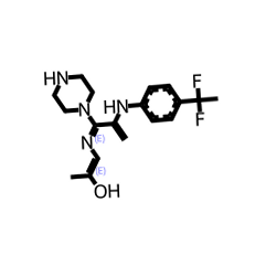 C=C(Nc1ccc(C(C)(F)F)cc1)/C(=N\C=C(/C)O)N1CCNCC1